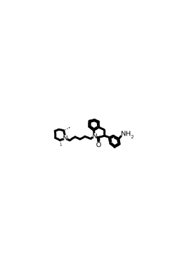 C[C@@H]1CCC[C@H](C)N1CCCCCN1C(=O)C(c2cccc(N)c2)Cc2ccccc21